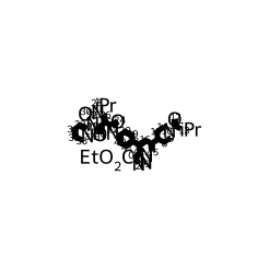 CCOC(=O)c1nnn2cc(C3CCN(C(=O)C(C)C)CC3)cc(-c3ccc(NC(=O)c4cn(C(C)C)c(=O)n(-c5ccccn5)c4=O)cc3)c12